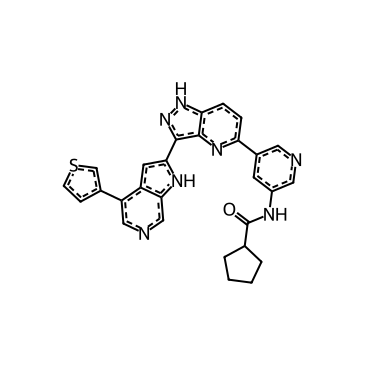 O=C(Nc1cncc(-c2ccc3[nH]nc(-c4cc5c(-c6ccsc6)cncc5[nH]4)c3n2)c1)C1CCCC1